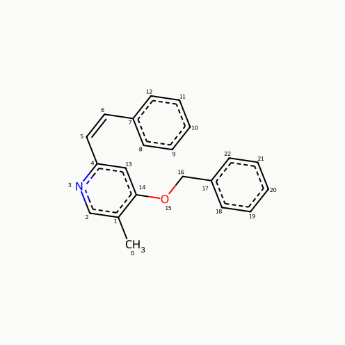 Cc1cnc(/C=C\c2ccccc2)cc1OCc1ccccc1